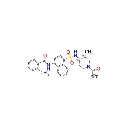 CCCC(=O)N1CC[C@@H](NS(=O)(=O)c2ccc(NC(=O)c3ccccc3C)c3ccccc23)[C@H](C)C1